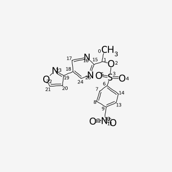 CC(OS(=O)(=O)c1ccc([N+](=O)[O-])cc1)c1ncc(-c2ccon2)cn1